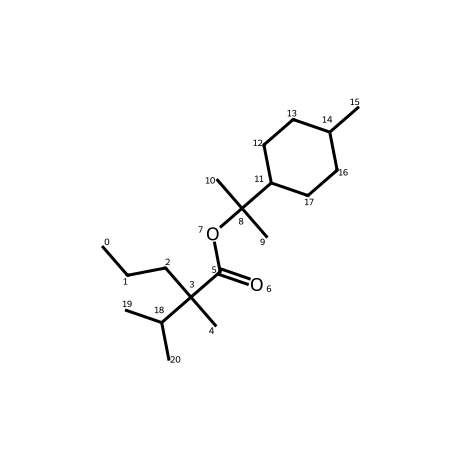 CCCC(C)(C(=O)OC(C)(C)C1CCC(C)CC1)C(C)C